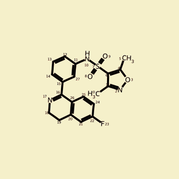 Cc1noc(C)c1S(=O)(=O)Nc1cccc(C2=NCCc3cc(F)ccc32)c1